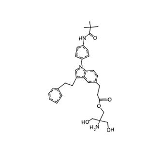 CC(C)(C)C(=O)Nc1ccc(-n2cc(CCc3ccccc3)c3cc(CCC(=O)OCC(N)(CO)CO)ccc32)cc1